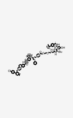 Cc1ncsc1-c1ccc([C@H](C)NC(=O)[C@@H]2C[C@@H](O)CN2C(=O)[C@@H](NC(=O)CNCCOCCOCC(=O)N2CCN(CC[C@H](CSc3ccccc3)Nc3ccc(S(=O)(=O)NC(=O)c4ccc5c(c4)CCC4CN(CC6=C(c7ccc(Cl)cc7)CCC(C)(C)C6)CCN54)cc3S(=O)(=O)C(F)(F)F)CC2)C(C)(C)C)cc1